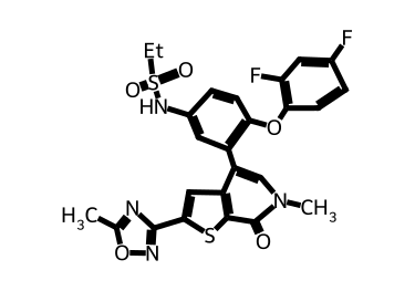 CCS(=O)(=O)Nc1ccc(Oc2ccc(F)cc2F)c(-c2cn(C)c(=O)c3sc(-c4noc(C)n4)cc23)c1